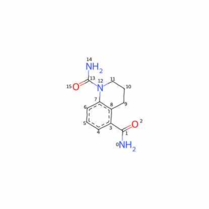 NC(=O)c1cccc2c1CCCN2C(N)=O